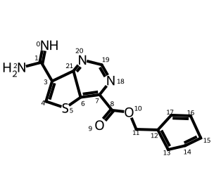 N=C(N)c1csc2c(C(=O)OCc3ccccc3)ncnc12